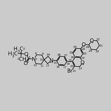 CC(C)(C)OC(=O)N1CCC2(CC1)CN(c1ccc(C3=C(Br)COc4cc(OC5CCCCO5)ccc43)cc1)C2